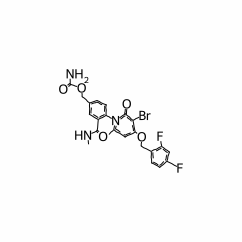 CNC(=O)c1cc(COC(N)=O)ccc1-n1c(C)cc(OCc2ccc(F)cc2F)c(Br)c1=O